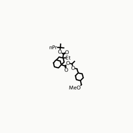 CCCC(C)(C)OC(=O)C1(CC)CC2CCCC(C(=O)OC(C)OCC3CCC(COC)CC3)(C2)C1